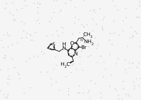 C=Cc1cc(NCc2cccs2)c2oc(C[C@H](C)N)c(Br)c2n1